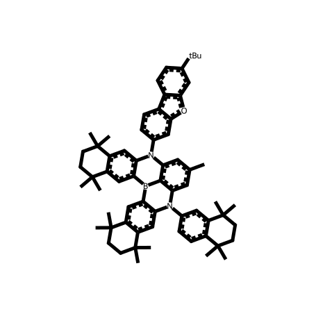 Cc1cc2c3c(c1)N(c1ccc4c(c1)oc1cc(C(C)(C)C)ccc14)c1cc4c(cc1B3c1cc3c(cc1N2c1ccc2c(c1)C(C)(C)CCC2(C)C)C(C)(C)CCC3(C)C)C(C)(C)CCC4(C)C